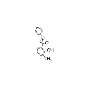 Cc1cccc(C(=O)OOc2ccccc2)c1O